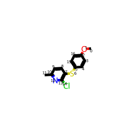 COc1ccc(Sc2ccc(C)nc2Cl)cc1